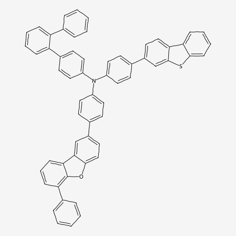 c1ccc(-c2ccccc2-c2ccc(N(c3ccc(-c4ccc5c(c4)sc4ccccc45)cc3)c3ccc(-c4ccc5oc6c(-c7ccccc7)cccc6c5c4)cc3)cc2)cc1